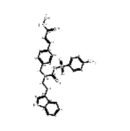 Cc1ccc(S(=O)(=O)NC(=O)N(CCc2c[nH]c3ccccc23)Cc2ccc(/C=C/C(=O)NO)cc2)cc1